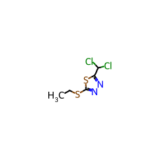 CCSc1nnc(C(Cl)Cl)s1